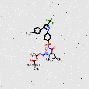 Cc1ccc(-c2cc(C(F)(F)F)nn2-c2ccc(S(=O)(=O)NC(=O)[C@H](CC(C)C)N(C)[N+]([O-])=NOC(C)OC(=O)C(C)(C)C)cc2)cc1